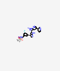 CS(=O)(=O)NCc1cc(F)cc(-c2ccnc3[nH]c(-c4n[nH]c5ncc(-c6cccnc6)cc45)cc23)c1